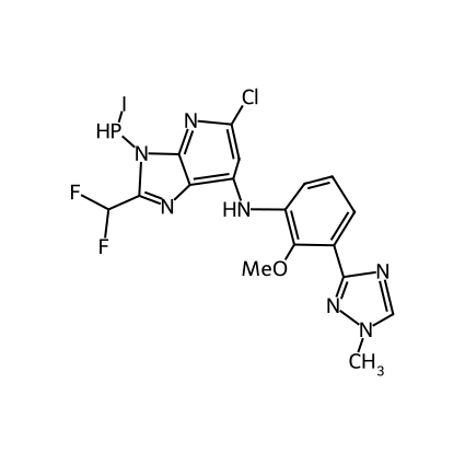 COc1c(Nc2cc(Cl)nc3c2nc(C(F)F)n3PI)cccc1-c1ncn(C)n1